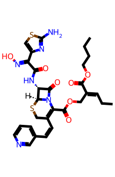 CC/C=C(\COC(=O)C1=C(/C=C\c2cccnc2)CS[C@H]2[C@H](NC(=O)C(=NO)c3csc(N)n3)C(=O)N12)C(=O)OCCCC